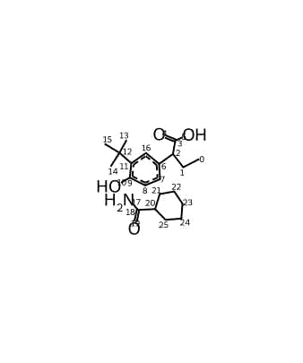 CCC(C(=O)O)c1ccc(O)c(C(C)(C)C)c1.NC(=O)C1CCCCC1